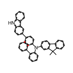 CC1(C)c2ccccc2-c2ccc(N(c3ccc(-c4ccc5[nH]c6ccccc6c5c4)cc3)c3ccccc3-c3ccccc3)cc21